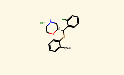 COc1ccccc1SC(c1ccccc1F)[C@H]1CNCCO1.Cl